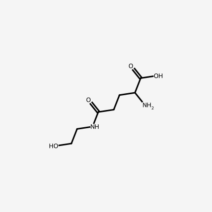 NC(CCC(=O)NCCO)C(=O)O